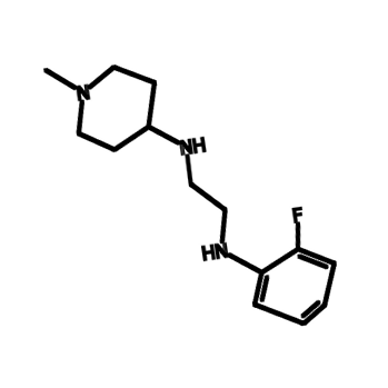 CN1CCC(NCCNc2ccccc2F)CC1